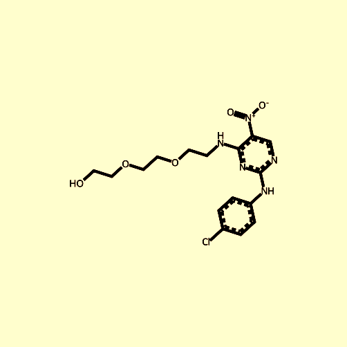 O=[N+]([O-])c1cnc(Nc2ccc(Cl)cc2)nc1NCCOCCOCCO